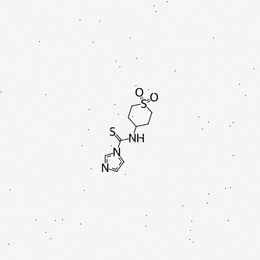 O=S1(=O)CCC(NC(=S)n2ccnc2)CC1